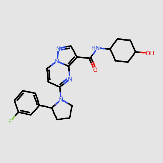 O=C(NC1CCC(O)CC1)c1cnn2ccc(N3CCCC3c3cccc(F)c3)nc12